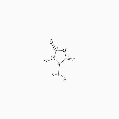 C=C1OC(=O)N(C)C1C(C)C